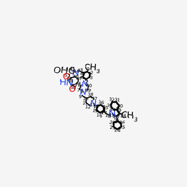 Cc1ccc(N2CCN(CC3CCN(c4ccc(Cn5c(-c6ccccc6)c(C)c6ccccc65)cc4)CC3)CC2)cc1CN(C=O)C1CCC(=O)NC1=O